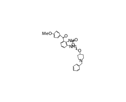 COc1ccc(C(=O)c2cccc(N)c2NC(=O)OCCOC2CCN(Cc3ccccc3)CC2)cc1